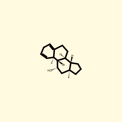 C[C@@]12CCC[C@H]1[C@@H]1CCC3=CCC=C[C@]3(C)[C@@]1(Br)[C@@H](O)C2